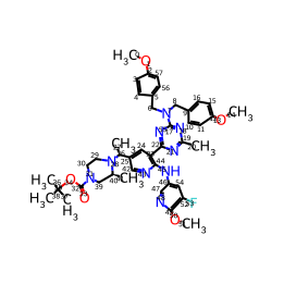 COc1ccc(CN(Cc2ccc(OC)cc2)c2nc(C)nc(-c3cc([C@H](C)N4CCN(C(=O)OC(C)(C)C)C[C@@H]4C)cnc3Nc3cnc(OC)c(F)c3)n2)cc1